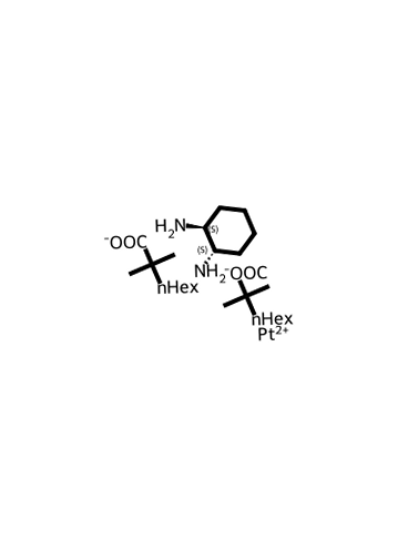 CCCCCCC(C)(C)C(=O)[O-].CCCCCCC(C)(C)C(=O)[O-].N[C@H]1CCCC[C@@H]1N.[Pt+2]